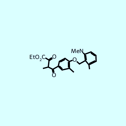 CCOC(=O)C(=O)C(C)C(=O)c1ccc(OCc2c(C)cccc2NC)c(C)c1